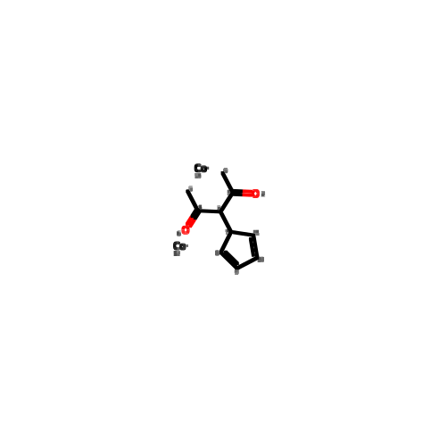 CC(=O)C(C(C)=O)C1C=CC=C1.[Co].[Co]